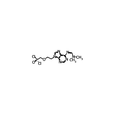 CN(C)/C=N\c1ncnc2c1ncn2CCOCP(=O)(Cl)Cl